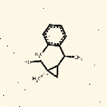 Cc1ccccc1C(C)C1C[C@@]1(C)CO